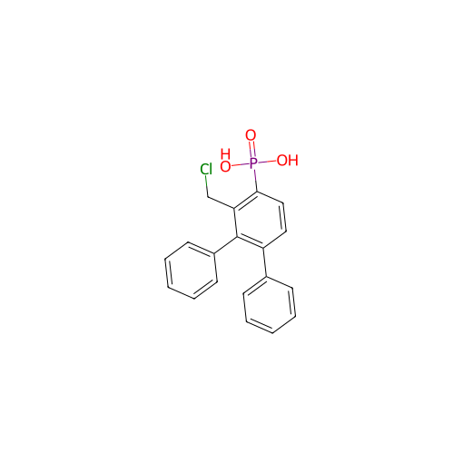 O=P(O)(O)c1ccc(-c2ccccc2)c(-c2ccccc2)c1CCl